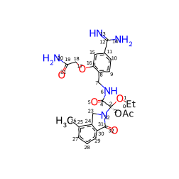 CCO[C@](OC(C)=O)(C(=O)NCc1ccc(C(=N)N)cc1OCC(N)=O)N1Cc2c(C)cccc2C1=O